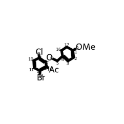 COC1=CC=C(COc2c(Cl)ccc(Br)c2C(C)=O)CC1